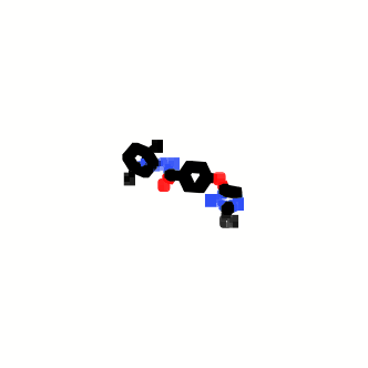 N#Cc1ncc(Oc2ccc(C(=O)N[C@@H]3C[C@H]4CC[C@@H]3N4)cc2)[nH]1